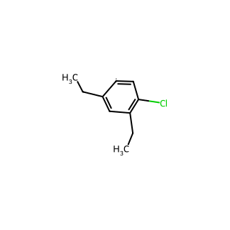 CCc1[c]cc(Cl)c(CC)c1